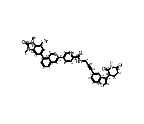 CC(C)c1cc(-c2cccc3cc(-c4ccc(C(=O)NCC#Cc5ccc6occ(C7CCC(=O)NC7=O)c6c5)nc4)ncc23)cc2c1n(C)c(=O)n2C